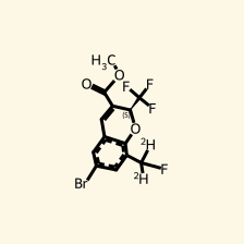 [2H]C([2H])(F)c1cc(Br)cc2c1O[C@H](C(F)(F)F)C(C(=O)OC)=C2